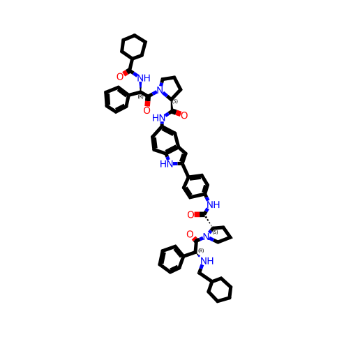 O=C(N[C@@H](C(=O)N1CCC[C@H]1C(=O)Nc1ccc2[nH]c(-c3ccc(NC(=O)[C@@H]4CCCN4C(=O)[C@H](NCC4CCCCC4)c4ccccc4)cc3)cc2c1)c1ccccc1)C1CCCCC1